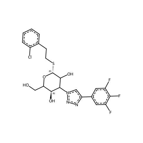 OCC1O[C@H](SCCc2ccccc2Cl)C(O)C(n2cc(-c3cc(F)c(F)c(F)c3)nn2)[C@H]1O